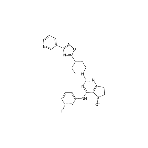 [O-][S+]1CCc2nc(N3CCC(c4nc(-c5cccnc5)no4)CC3)nc(Nc3cccc(F)c3)c21